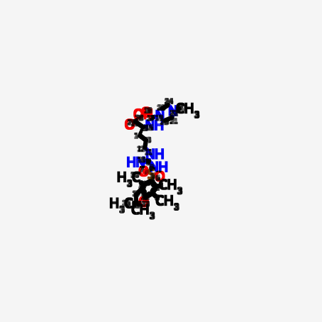 Cc1c(C)c(S(=O)(=O)NC(=N)NCCC[C@H](NC(=O)N2CCN(C)CC2)C(=O)O)c(C)c2c1OC(C)(C)C2